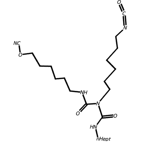 CCCCCCCNC(=O)N(CCCCCCN=C=O)C(=O)NCCCCCCOC#N